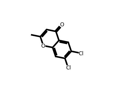 Cc1cc(=O)c2cc(Cl)c(Cl)cc2o1